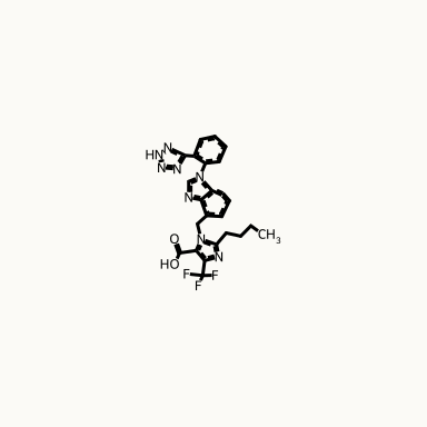 CCCCc1nc(C(F)(F)F)c(C(=O)O)n1Cc1cccc2c1ncn2-c1ccccc1-c1nn[nH]n1